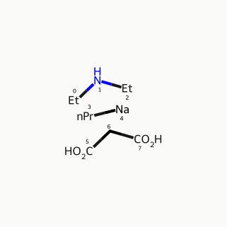 CCNCC.CC[CH2][Na].O=C(O)CC(=O)O